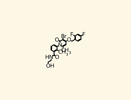 Cc1c(C(=O)NCCO)cccc1-n1c(C)cc(OCc2ccc(F)cc2F)c(Br)c1=O